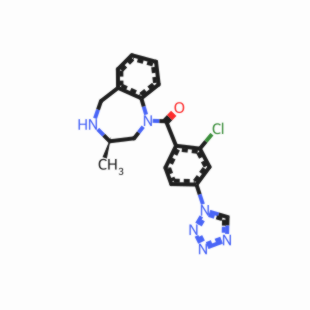 C[C@@H]1CN(C(=O)c2ccc(-n3cnnn3)cc2Cl)c2ccccc2CN1